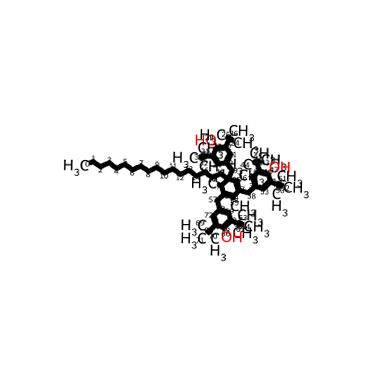 CCCCCCCCCCCCCCCCCCC1(Cc2cc(C(C)(C)C)c(O)c(C(C)(C)C)c2)C(C)=C(Cc2cc(C(C)(C)C)c(O)c(C(C)(C)C)c2)C(C)=C(Cc2cc(C(C)(C)C)c(O)c(C(C)(C)C)c2)C1C